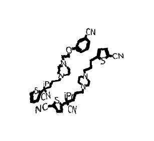 CC(C)C(C#N)(CCCN1CCN(CCCc2ccc(C#N)s2)CC1)c1ccc(C#N)s1.CC(C)C(C#N)(CCCN1CCN(CCOc2cccc(C#N)c2)CC1)c1cccs1